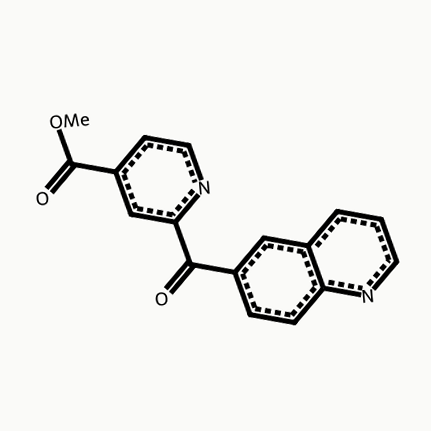 COC(=O)c1ccnc(C(=O)c2ccc3ncccc3c2)c1